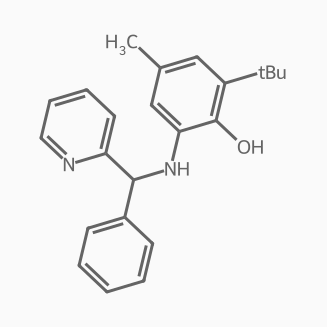 Cc1cc(NC(c2ccccc2)c2ccccn2)c(O)c(C(C)(C)C)c1